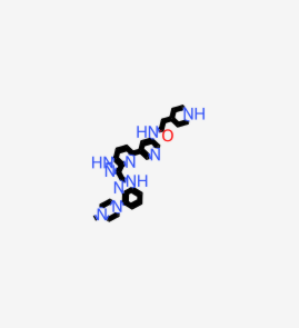 CN1CCN(c2cccc3[nH]c(-c4n[nH]c5ccc(-c6cncc(NC(=O)CC7CCNCC7)c6)nc45)nc23)CC1